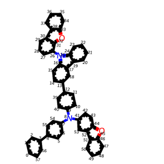 c1ccc(-c2ccc(N(c3ccc(-c4ccc5c(c4)c4ccccc4n5-c4cccc5c4oc4ccccc45)cc3)c3ccc4oc5ccccc5c4c3)cc2)cc1